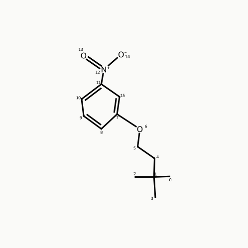 CC(C)(C)CCOc1cccc([N+](=O)[O-])c1